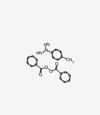 CCCN(CCC)c1ccc(C)cc1.O=C(OOC(=O)c1ccccc1)c1ccccc1